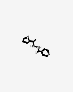 C/C(NNC(=O)c1ccncc1)=C1/C=CC=N1